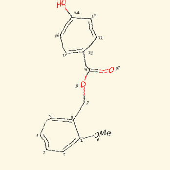 COc1ccccc1COC(=O)c1ccc(O)cc1